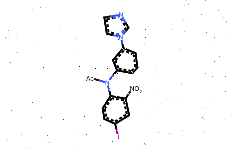 CC(=O)N(c1cccc(-n2ccnc2)c1)c1ccc(I)cc1[N+](=O)[O-]